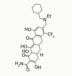 CCN(Cc1cc(O)c2c(c1C(F)(F)F)CC1C[C@H]3CC(O)=C(C(N)=O)C(=O)[C@@]3(O)C(O)=C1C2=O)CC1CCCCC1